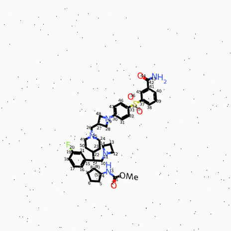 COC(=O)N[C@H]1CCC[C@@H]1C(CN1CCC1)(c1cccc(F)c1)C1CCN(CC2CN(c3ccc(S(=O)(=O)c4cccc(C(N)=O)c4)cc3)C2)CC1